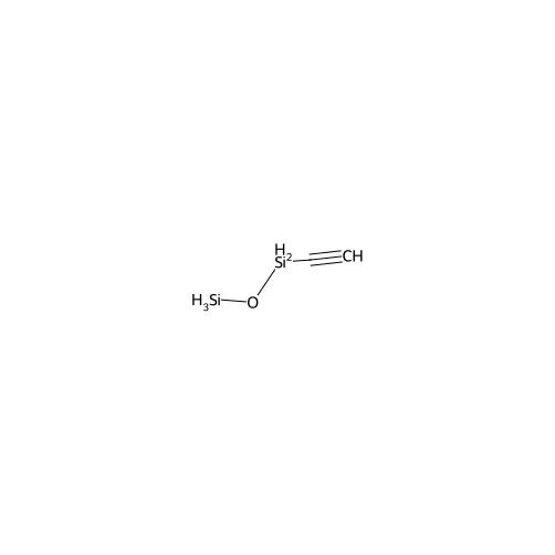 C#C[SiH2]O[SiH3]